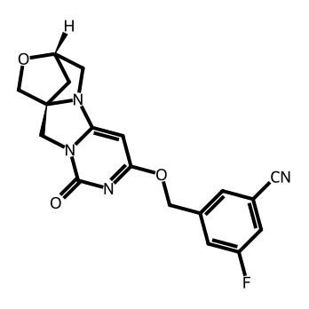 N#Cc1cc(F)cc(COc2cc3n(c(=O)n2)C[C@]24CO[C@H](CN32)C4)c1